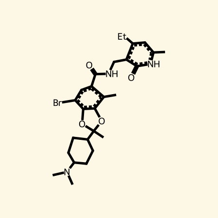 CCc1cc(C)[nH]c(=O)c1CNC(=O)c1cc(Br)c2c(c1C)OC(C)(C1CCC(N(C)C)CC1)O2